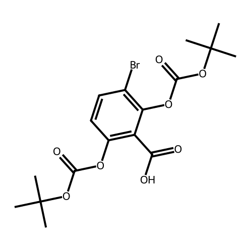 CC(C)(C)OC(=O)Oc1ccc(Br)c(OC(=O)OC(C)(C)C)c1C(=O)O